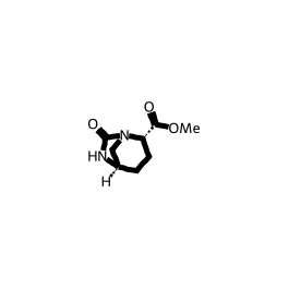 COC(=O)[C@@H]1CC[C@@H]2CN1C(=O)N2